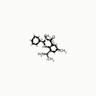 Cc1cc(C(C)N)c2nc(-c3ccccc3)n(C)c(=O)c2c1